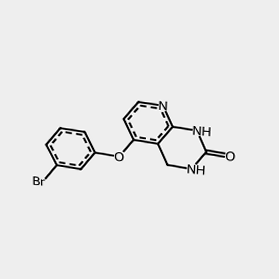 O=C1NCc2c(Oc3cccc(Br)c3)ccnc2N1